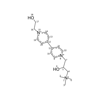 C[N+](C)(C)CC(O)C[n+]1ccc(-c2cc[n+](CCO)cc2)cc1